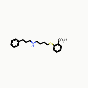 O=C(O)c1ccccc1SCCCCNCCCc1ccccc1